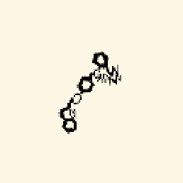 c1ccc(-c2nnn[nH]2)c(OCc2ccc(OCc3ccc4ccccc4n3)cc2)c1